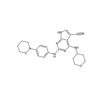 N#Cc1c[nH]c2nc(Nc3ccc(N4CCCCS4)cc3)nc(NC3CCOCC3)c12